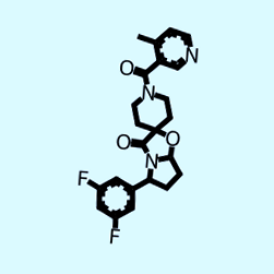 Cc1ccncc1C(=O)N1CCC2(CC1)OC1CCC(c3cc(F)cc(F)c3)N1C2=O